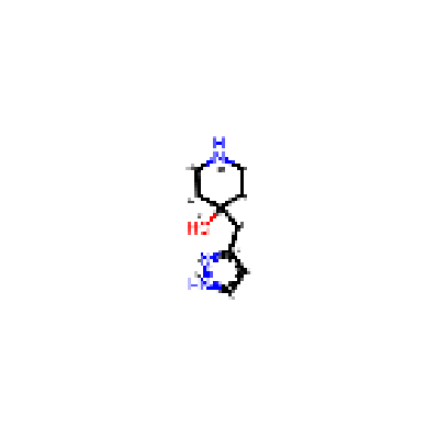 OC1(Cc2cc[nH]n2)CCNCC1